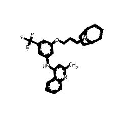 Cc1cc(Nc2cc(OCCCN3C4CCCC3CC4)cc(C(F)(F)F)c2)c2ccccc2n1